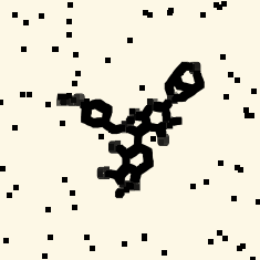 COc1ccc(Cn2nc3nc(N4CC5COCC(C5)C4)n(C)c(=O)c3c2-c2ccc3nn(C)c(Cl)c3c2Cl)cc1